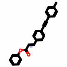 Cc1ccc(C#Cc2ccc(/C=C/C(=O)Oc3ccccc3)cc2)cc1